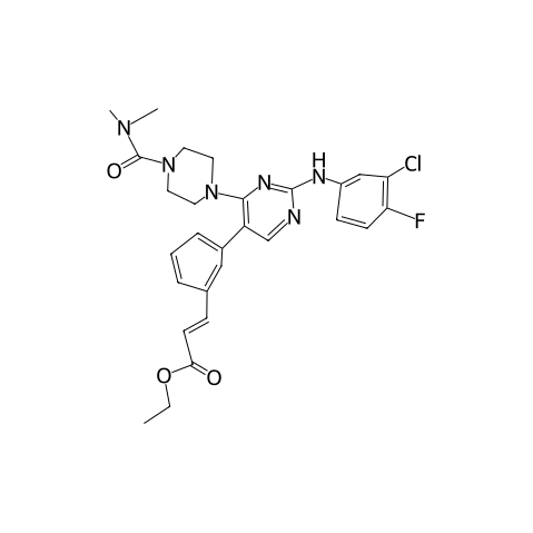 CCOC(=O)/C=C/c1cccc(-c2cnc(Nc3ccc(F)c(Cl)c3)nc2N2CCN(C(=O)N(C)C)CC2)c1